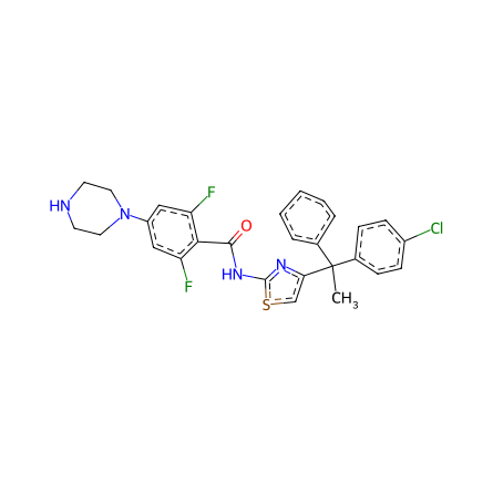 CC(c1ccccc1)(c1ccc(Cl)cc1)c1csc(NC(=O)c2c(F)cc(N3CCNCC3)cc2F)n1